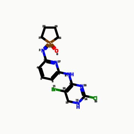 O=S1(=Nc2cccc(NC3=C(Br)CNC(Cl)=N3)n2)CCCC1